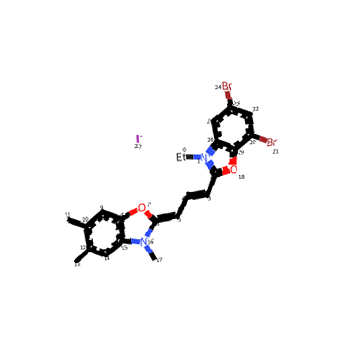 CC[n+]1c(C=CC=C2Oc3cc(C)c(C)cc3N2C)oc2c(Br)cc(Br)cc21.[I-]